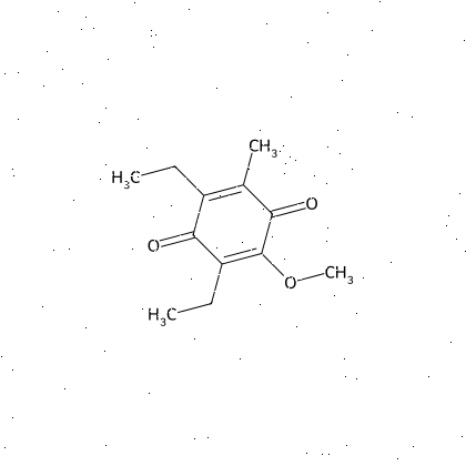 CCC1=C(C)C(=O)C(OC)=C(CC)C1=O